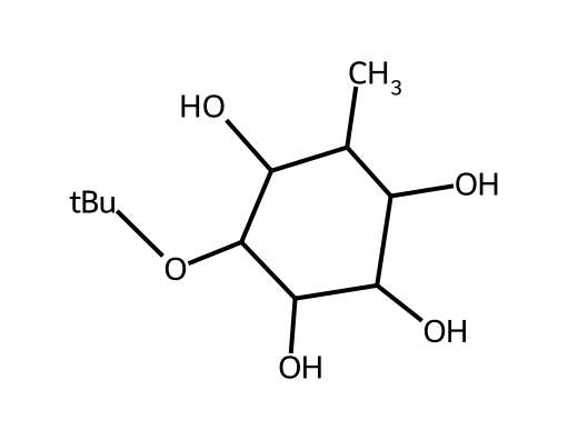 CC1C(O)C(O)C(O)C(OC(C)(C)C)C1O